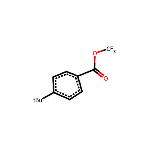 CC(C)(C)c1ccc(C(=O)OC(F)(F)F)cc1